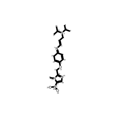 CC(C)N(CC=CN=C1C=CC(OCc2ncc([N+](=O)[O-])n2C)=CC1)C(C)C